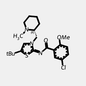 COc1ccc(Cl)cc1C(=O)N=c1sc(C(C)(C)C)cn1C[C@H]1CCCCN1C